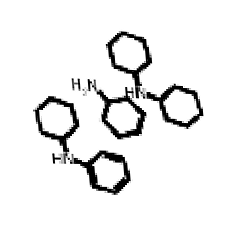 C1CCC(NC2CCCCC2)CC1.NC1CCCCC1.c1ccc(NC2CCCCC2)cc1